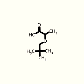 CC(OCC(C)(C)C)C(=O)O